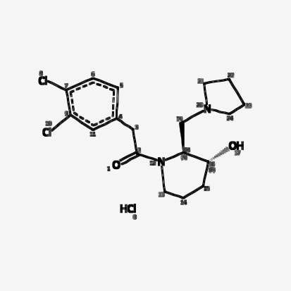 Cl.O=C(Cc1ccc(Cl)c(Cl)c1)N1CCC[C@@H](O)[C@@H]1CN1CCCC1